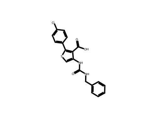 O=C(NCc1ccccc1)Nc1csc(-c2ccc(Cl)cc2)c1C(=O)O